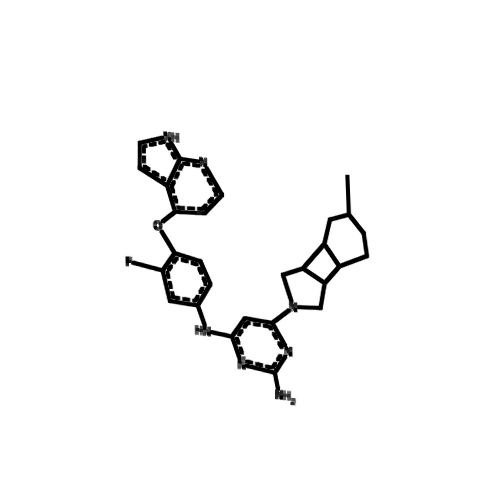 CC1CCC2C(C1)C1CN(c3cc(Nc4ccc(Oc5ccnc6[nH]ccc56)c(F)c4)nc(N)n3)CC21